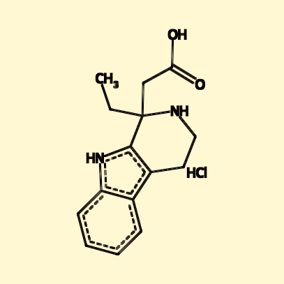 CCC1(CC(=O)O)NCCc2c1[nH]c1ccccc21.Cl